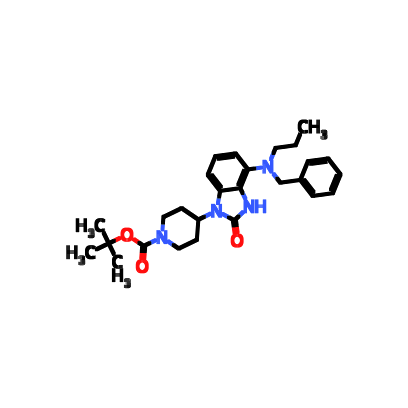 CCCN(Cc1ccccc1)c1cccc2c1[nH]c(=O)n2C1CCN(C(=O)OC(C)(C)C)CC1